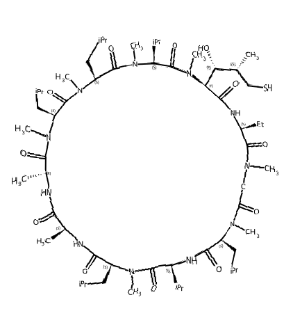 CC[C@@H]1NC(=O)[C@H]([C@H](O)[C@H](C)CS)N(C)C(=O)[C@H](C(C)C)N(C)C(=O)[C@H](CC(C)C)N(C)C(=O)[C@H](CC(C)C)N(C)C(=O)[C@@H](C)NC(=O)[C@H](C)NC(=O)[C@H](CC(C)C)N(C)C(=O)[C@H](C(C)C)NC(=O)[C@H](CC(C)C)N(C)C(=O)CN(C)C1=O